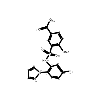 COC(=O)c1ccc(OC)c(S(=O)(=O)Nc2cc(C(F)(F)F)ccc2-n2cccn2)c1